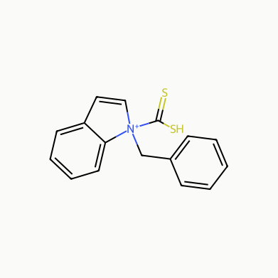 S=C(S)[N+]1(Cc2ccccc2)C=Cc2ccccc21